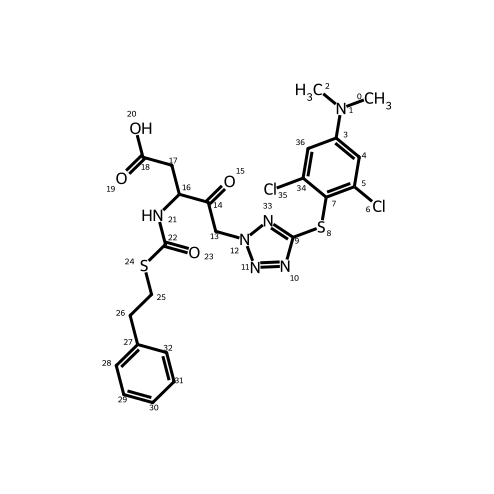 CN(C)c1cc(Cl)c(Sc2nnn(CC(=O)C(CC(=O)O)NC(=O)SCCc3ccccc3)n2)c(Cl)c1